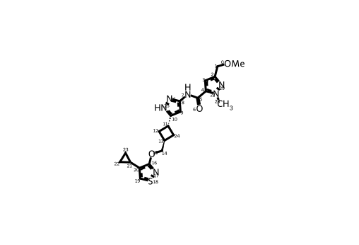 COCc1cc(C(=O)Nc2cc([C@H]3C[C@H](COc4nscc4C4CC4)C3)[nH]n2)n(C)n1